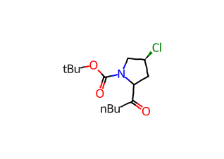 CCCCC(=O)C1C[C@H](Cl)CN1C(=O)OC(C)(C)C